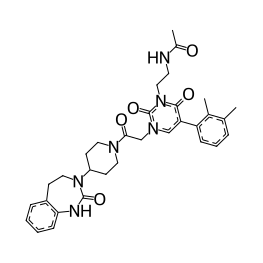 CC(=O)NCCn1c(=O)c(-c2cccc(C)c2C)cn(CC(=O)N2CCC(N3CCc4ccccc4NC3=O)CC2)c1=O